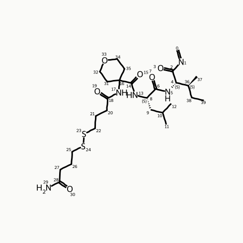 C=NC(=O)[C@@H](NC(=O)[C@H](CC(C)C)NC(=O)C1(NC(=O)CCCSSCCCC(N)=O)CCOCC1)[C@@H](C)CC